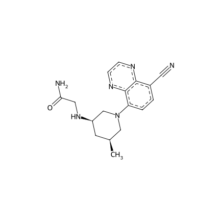 C[C@H]1C[C@@H](NCC(N)=O)CN(c2ccc(C#N)c3nccnc23)C1